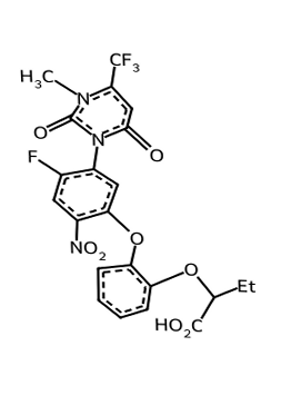 CCC(Oc1ccccc1Oc1cc(-n2c(=O)cc(C(F)(F)F)n(C)c2=O)c(F)cc1[N+](=O)[O-])C(=O)O